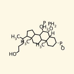 CC(CCCO)C1CCC2C3C(CC[C@]12C)[C@@]1(C)CC[C@@H](P=O)C[C@H]1[C@H](OP)[C@@H]3OP